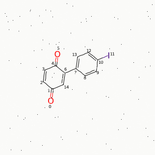 O=C1C=CC(=O)C(c2ccc(I)cc2)=C1